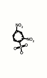 [O]S(=O)(=O)c1ccc([N+](=O)[O-])cc1[N+](=O)[O-]